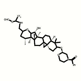 CC(C)C(=O)N1CCO[C@@H](OC2CC[C@]34C[C@]35CC[C@]3(C)[C@@H]6C(OC(CNC(OC=O)C(F)(F)F)C[C@H]6C)[C@H](O)[C@@]3(C)C5CC[C@H]4C2(C)C)C1